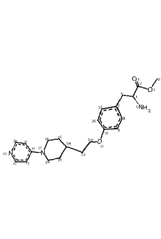 COC(=O)C(N)Cc1ccc(OCCC2CCN(c3ccncc3)CC2)cc1